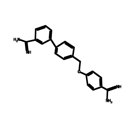 N=C(N)c1ccc(OCc2ccc(-c3cccc(C(=N)N)c3)cc2)cc1